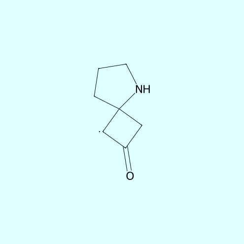 O=C1[CH]C2(CCCN2)C1